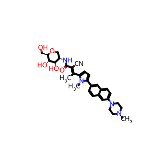 C/C(=C(/C#N)C(=O)N[C@H]1CO[C@H](CO)[C@@H](O)[C@@H]1O)c1ccc(-c2ccc3cc(N4CCN(C)CC4)ccc3c2)n1C